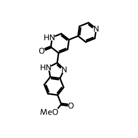 COC(=O)c1ccc2[nH]c(-c3cc(-c4ccncc4)c[nH]c3=O)nc2c1